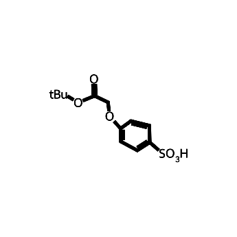 CC(C)(C)OC(=O)COc1ccc(S(=O)(=O)O)cc1